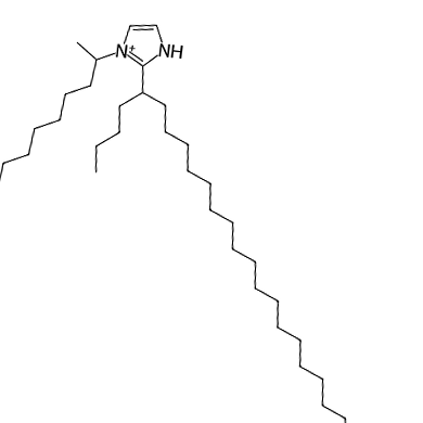 CCCCCCCCCCCCCCCCCCC(CCCC)c1[nH]cc[n+]1C(C)CCCCCCC